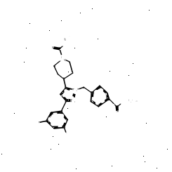 COC(=O)c1ccc(Cn2nc(-c3cc(Cl)cc(Cl)c3)cc2C2CCN(C(=O)OC(C)(C)C)CC2)cc1